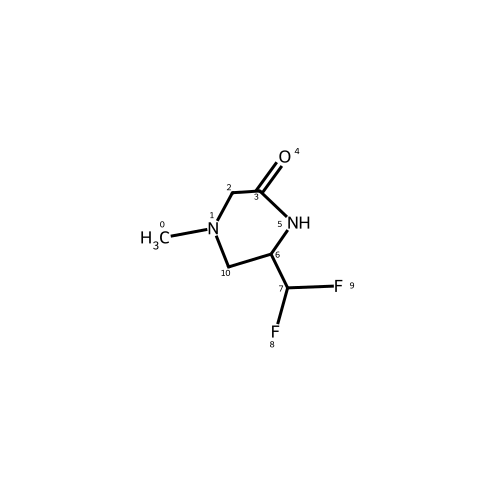 CN1CC(=O)NC(C(F)F)C1